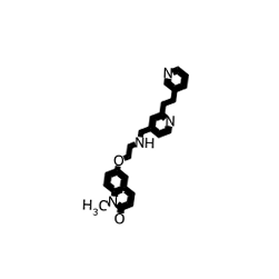 Cn1c(=O)ccc2cc(OCCNCc3ccnc(CCc4cccnc4)c3)ccc21